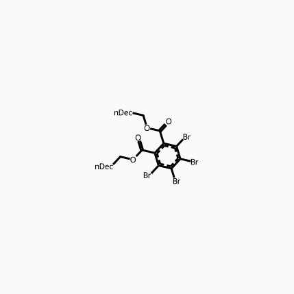 CCCCCCCCCCCOC(=O)c1c(Br)c(Br)c(Br)c(Br)c1C(=O)OCCCCCCCCCCC